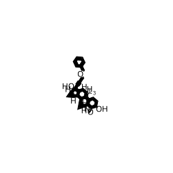 C[C@]12CCC3C(C1[C@@H]1C[C@@H]1[C@@]2(O)C#CCOCc1ccccc1)[C@H]1C[C@H]1[C@]1(N=O)C[C@@H](O)CC[C@]31C